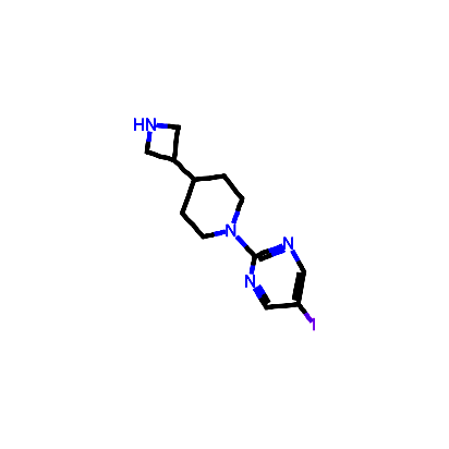 Ic1cnc(N2CCC(C3CNC3)CC2)nc1